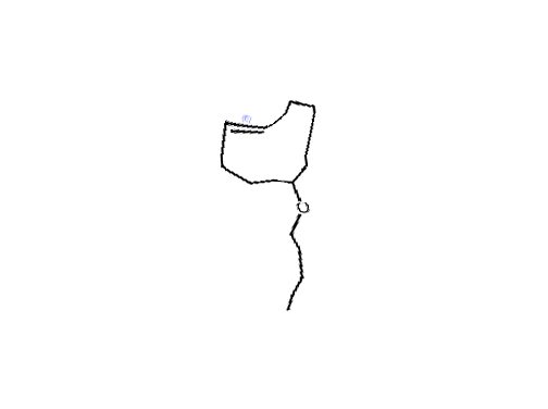 CCCOC1CC/C=C/CCC1